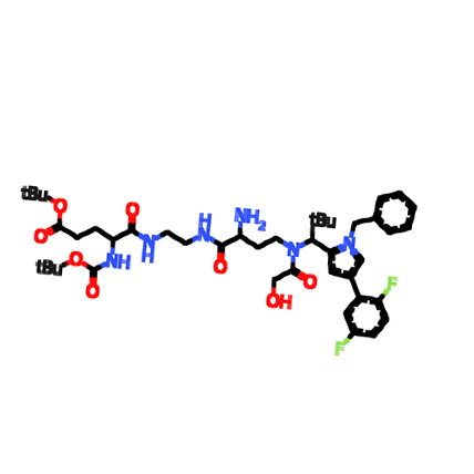 CC(C)(C)OC(=O)CCC(NC(=O)OC(C)(C)C)C(=O)NCCNC(=O)C(N)CCN(C(=O)CO)C(c1cc(-c2cc(F)ccc2F)cn1Cc1ccccc1)C(C)(C)C